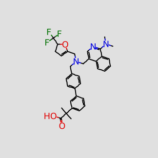 CN(C)c1ncc(CN(CC2=CCC(C(F)(F)F)O2)Cc2ccc(-c3cccc(C(C)(C)C(=O)O)c3)cc2)c2ccccc12